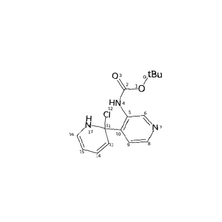 CC(C)(C)OC(=O)Nc1cnccc1C1(Cl)C=CC=CN1